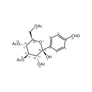 CC(=O)OC[C@H]1O[C@](O)(c2ccc(C=O)cc2)[C@H](OC(C)=O)[C@@H](OC(C)=O)[C@@H]1OC(C)=O